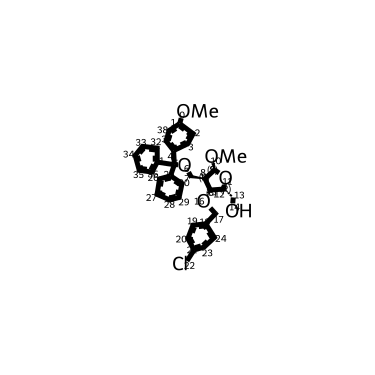 COc1ccc(C(OC[C@H]2[C@@H](OC)O[C@H](CO)[C@H]2OCc2ccc(Cl)cc2)(c2ccccc2)c2ccccc2)cc1